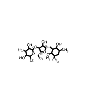 CCC1OC(OC2C(O)[C@H](CC3C(C)C(C)CC(C)C3O)O[C@@H]2CS)C(C)C(O)C1O